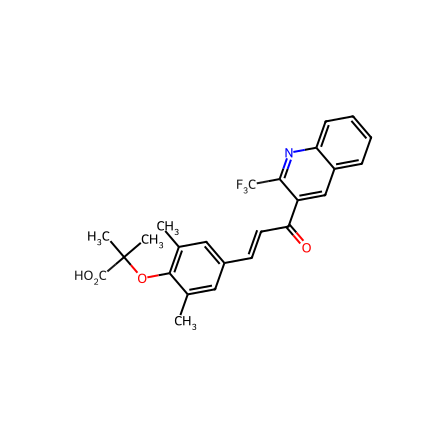 Cc1cc(C=CC(=O)c2cc3ccccc3nc2C(F)(F)F)cc(C)c1OC(C)(C)C(=O)O